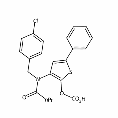 CCCC(=O)N(Cc1ccc(Cl)cc1)c1cc(-c2ccccc2)sc1OC(=O)O